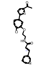 CC(=O)c1ccc(-c2ccc(Cl)c(OCCNC(=O)/C=C/c3cccnc3)c2)s1